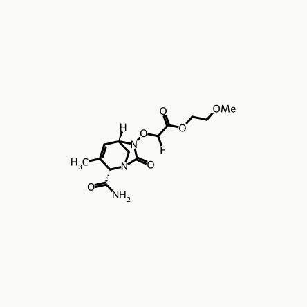 COCCOC(=O)C(F)ON1C(=O)N2C[C@@H]1C=C(C)[C@H]2C(N)=O